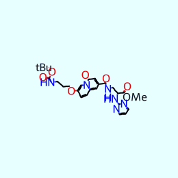 COC(=O)C(CNC(=O)c1cc(=O)n2cc(OCCCNC(=O)OC(C)(C)C)ccc2c1)Nc1ncccn1